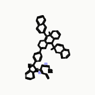 C=C/C=C(\C=C/CC)n1c(-c2ccc(C3=CC4=C(C5(C)C=Cc6ccccc6C5)C5=CC=CCC5(C)C(c5ccc6ccccc6c5)=C4CC3)cc2)nc2ccccc21